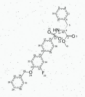 COC(=O)[C@@H](Cc1ccccc1)NS(=O)(=O)c1ccc(-c2ccc(OCc3ccccc3)c(F)c2)cc1